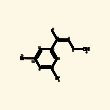 C/C(=C/CO)c1cc(Br)cc(Br)c1